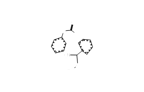 O=C(Cl)Oc1ccccc1.O=[N+]([O-])C(OO)c1ccccc1